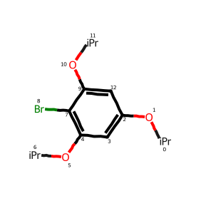 CC(C)Oc1cc(OC(C)C)c(Br)c(OC(C)C)c1